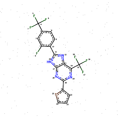 Fc1cc(C(F)(F)F)ccc1-c1nc2c(C(F)(F)F)nc(-c3cccs3)nc2[nH]1